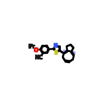 CC(C)Oc1ccc(-c2ncc(/C3=C4\CCC\C4=C\CC#CC3)s2)cc1C#N